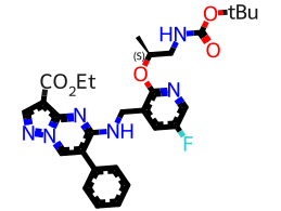 CCOC(=O)c1cnn2cc(-c3ccccc3)c(NCc3cc(F)cnc3O[C@@H](C)CNC(=O)OC(C)(C)C)nc12